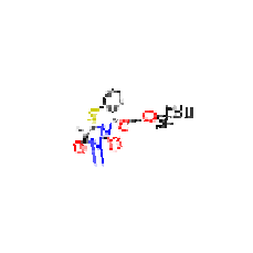 Cc1c(Sc2ccccc2)n(COCCO[Si](C)(C)C(C)(C)C)c(=O)[nH]c1=O